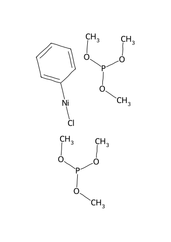 COP(OC)OC.COP(OC)OC.[Cl][Ni][c]1ccccc1